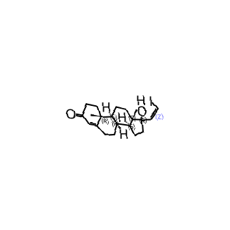 C[C@]12CCC(=O)C=C1CC[C@@H]1[C@@H]2CC[C@@]2(C)[C@H]1CC[C@@]2(O)/C=C\I